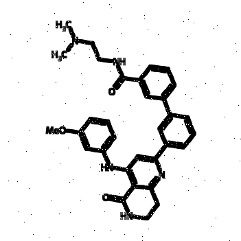 COc1cccc(Nc2cc(-c3cccc(-c4cccc(C(=O)NCCN(C)C)c4)c3)nc3c2C(=O)NCC3)c1